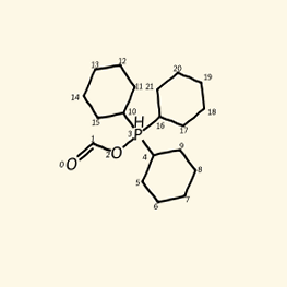 O=CO[PH](C1CCCCC1)(C1CCCCC1)C1CCCCC1